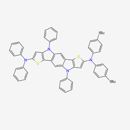 CC(C)(C)c1ccc(N(c2ccc(C(C)(C)C)cc2)c2cc3c(s2)c2cc4c(cc2n3-c2ccccc2)c2sc(N(c3ccccc3)c3ccccc3)cc2n4-c2ccccc2)cc1